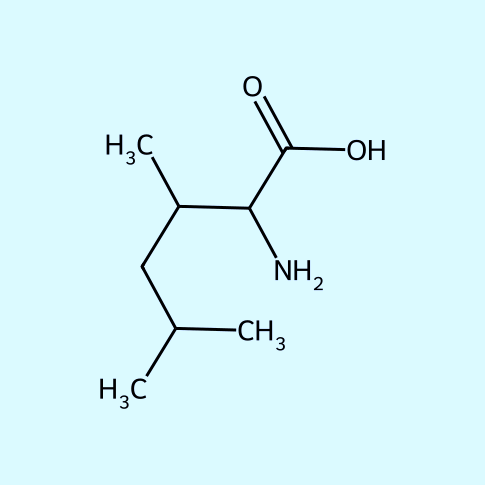 CC(C)CC(C)C(N)C(=O)O